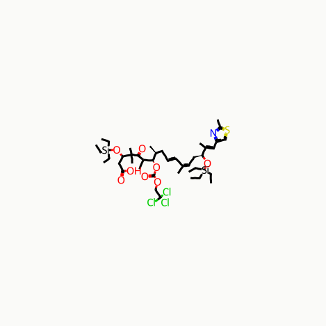 CC[Si](CC)(CC)OC(CC(=O)O)C(C)(C)C(=O)C(C)[C@@H](OC(=O)OCC(Cl)(Cl)Cl)[C@@H](C)C/C=C/C(C)=C\C[C@H](O[Si](CC)(CC)CC)/C(C)=C/c1csc(C)n1